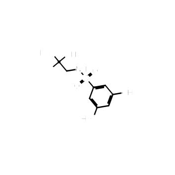 Cc1cc(C)cc(S(=O)(=O)NCC(C)(C)C)c1